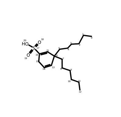 CCCCCCC1(CCCCCC)C=CCC(S(=O)(=O)O)=C1